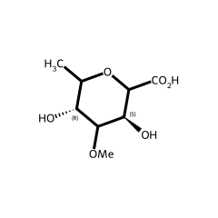 COC1[C@H](O)C(C)OC(C(=O)O)[C@H]1O